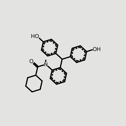 CN(C(=O)C1CCCCC1)c1ccccc1C(c1ccc(O)cc1)c1ccc(O)cc1